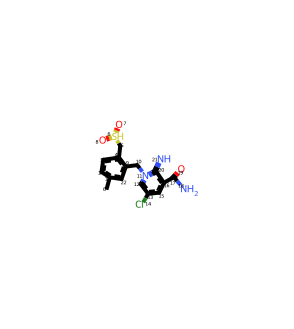 Cc1ccc(C[SH](=O)=O)c(Cn2cc(Cl)cc(C(N)=O)c2=N)c1